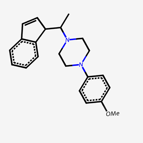 COc1ccc(N2CCN(C(C)C3C=Cc4ccccc43)CC2)cc1